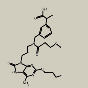 CCCCOc1nc(N)c2[nH]c(=O)n(CCCN(Cc3cccc(C(C)C(=O)O)c3)C(=O)CCSC)c2n1